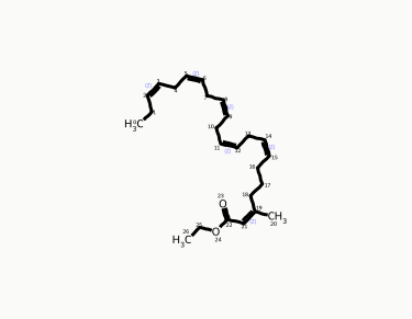 CC/C=C\C/C=C\C/C=C\C/C=C\C/C=C\CCC/C(C)=C\C(=O)OCC